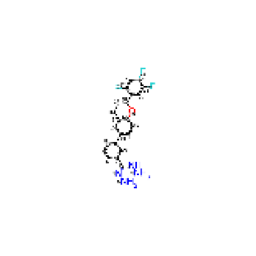 N/N=C(\NN)c1cccc(-c2ccc3c(c2)CCC(c2cc(F)c(F)cc2F)O3)c1